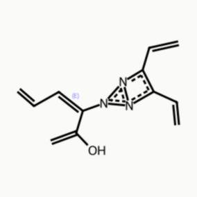 C=C/C=C(\C(=C)O)n1n2c(C=C)c(C=C)n12